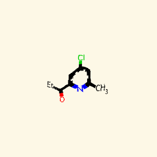 CCC(=O)c1cc(Cl)cc(C)n1